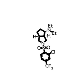 CCN(CC)[C@H]1CC[C@@H]2CN(S(=O)(=O)c3ccc(C(F)(F)F)cc3Cl)C[C@@H]21